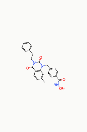 Cc1ccc2c(=O)n(CCc3ccccc3)c(=O)n(Cc3ccc(C(=O)NO)cc3)c2c1